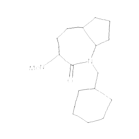 CNC1CCC2CCCC2N(CC2CCCCC2)C1=O